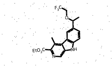 CCOC(=O)c1ncc2[nH]c3ccc(C(C)OCC(F)(F)F)cc3c2c1C